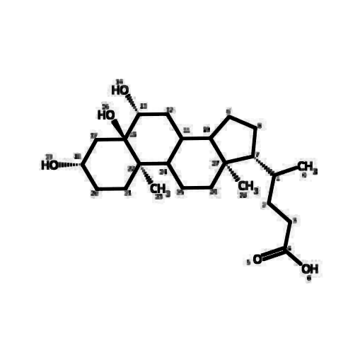 CC(CCC(=O)O)[C@H]1CCC2C3C[C@@H](O)[C@@]4(O)C[C@@H](O)CC[C@]4(C)C3CC[C@@]21C